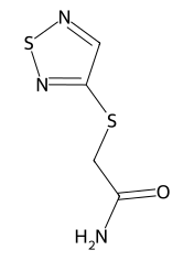 NC(=O)CSc1cnsn1